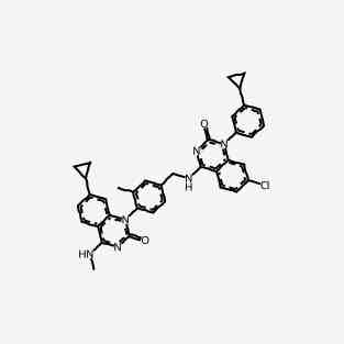 CNc1nc(=O)n(-c2ccc(CNc3nc(=O)n(-c4cccc(C5CC5)c4)c4cc(Cl)ccc34)cc2C)c2cc(C3CC3)ccc12